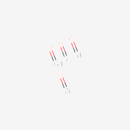 [O]=[Gd].[O]=[Y].[O]=[Yb].[O]=[Zr]